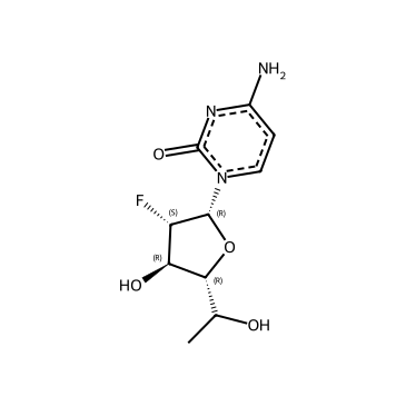 CC(O)[C@H]1O[C@@H](n2ccc(N)nc2=O)[C@@H](F)[C@@H]1O